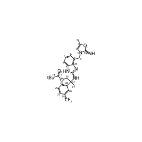 Cc1cn(Cc2cccc3[nH]c(NC(C)(COC(=O)C(C)(C)C)c4cccc(C(F)(F)F)c4)nc23)c(=N)o1